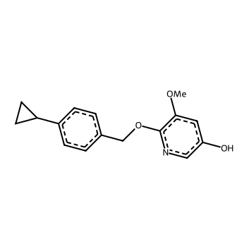 COc1cc(O)cnc1OCc1ccc(C2CC2)cc1